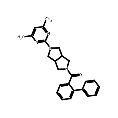 Cc1cc(C)nc(N2CC3CN(C(=O)c4ccccc4-c4ccccc4)CC3C2)n1